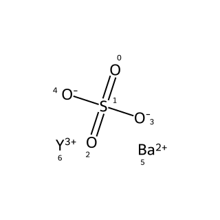 O=S(=O)([O-])[O-].[Ba+2].[Y+3]